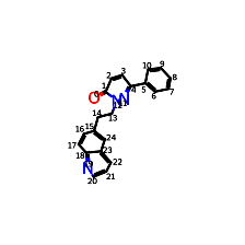 O=c1ccc(-c2ccccc2)nn1CCc1ccc2ncccc2c1